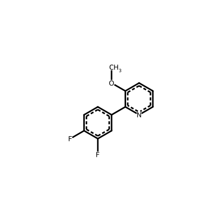 COc1cccnc1-c1ccc(F)c(F)c1